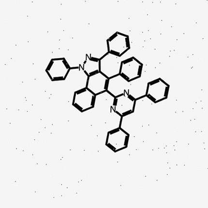 c1ccc(-c2cc(-c3ccccc3)nc(-c3c(-c4ccccc4)c4c(-c5ccccc5)nn(-c5ccccc5)c4c4ccccc34)n2)cc1